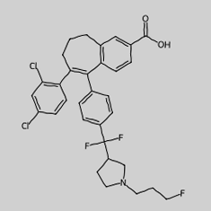 O=C(O)c1ccc2c(c1)CCCC(c1ccc(Cl)cc1Cl)=C2c1ccc(C(F)(F)C2CCN(CCCF)C2)cc1